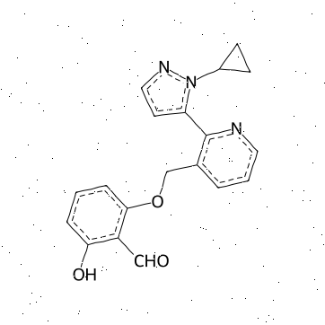 O=Cc1c(O)cccc1OCc1cccnc1-c1ccnn1C1CC1